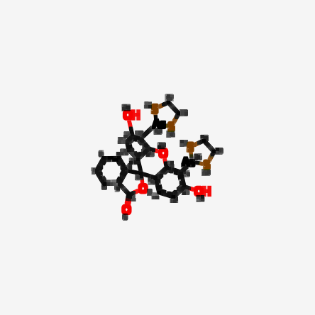 O=C1OC2(c3ccccc31)c1ccc(O)c([As]3SCCS3)c1Oc1c2ccc(O)c1[As]1SCCS1